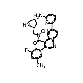 Cc1cc(F)cc(-c2cnc3ccc(-c4cccc(N)n4)cc3c2C(=O)N(C)C[C@@H]2CCCN2)c1